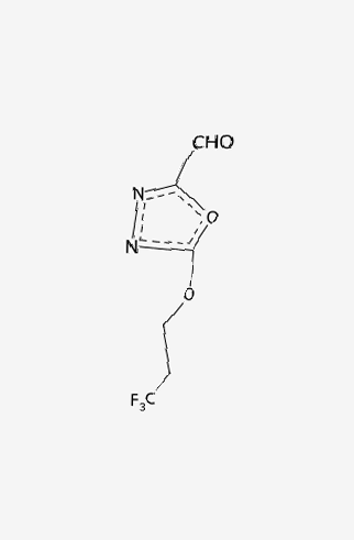 O=Cc1nnc(OCCC(F)(F)F)o1